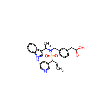 C=CC(c1cccnc1)S(=O)(=O)N(Cc1cccc(CC(=O)O)c1)C(C)c1c[nH]c2ccccc12